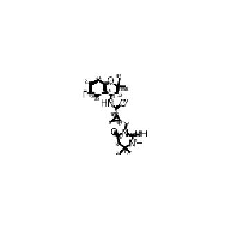 CC1(C)CC(=O)N(C[C@@H]2C[C@H]2C(=O)NC2CC(C)(C)Oc3ccc(F)cc32)C(=N)N1